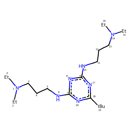 CCN(CC)CCCNc1nc(NCCCN(CC)CC)nc(C(C)(C)C)n1